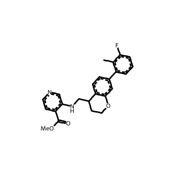 COC(=O)c1ccncc1NCC1CCOc2cc(-c3cccc(F)c3C)ccc21